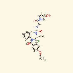 CCOc1ccc(C(=O)N2C[C@@H](C)N(C(=O)NCC(=O)N3CC[C@@H](O)C3)Cc3ccccc32)c(Cl)c1